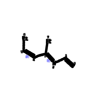 C=C/N=C(/C=C\CC)CC